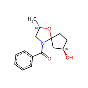 C[C@H]1CN(C(=O)c2ccccc2)C2(CC[C@@H](O)C2)O1